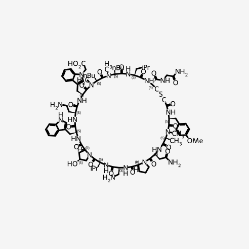 CCCC[C@H]1C(=O)N(C)[C@@H](CCCC)C(=O)N[C@@H](CC(C)C)C(=O)N[C@H](C(=O)NCC(N)=O)CSCC(=O)N[C@@H](Cc2ccc(OC)cc2)C(=O)N(C)[C@@H](C)C(=O)N[C@@H](CC(N)=O)C(=O)N2CCC[C@@H]2C(=O)N[C@@H](CN)C(=O)N[C@@H](C(C)C)C(=O)N2C[C@@H](O)C[C@@H]2C(=O)N[C@@H](Cc2c[nH]c3ccccc23)C(=O)N[C@@H](CCN)C(=O)N[C@@H](Cc2cn(CC(=O)O)c3ccccc23)C(=O)N1C